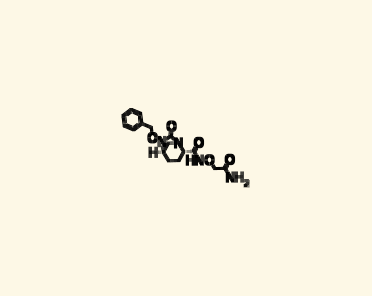 NC(=O)CONC(=O)[C@@H]1CC[C@@H]2CN1C(=O)N2OCc1ccccc1